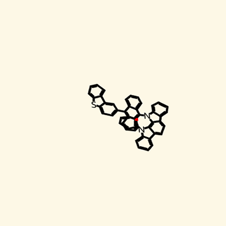 c1ccc(-n2c3ccccc3c3ccc4c5ccccc5n(-c5c6ccccc6c(-c6ccc7sc8ccccc8c7c6)c6ccccc56)c4c32)cc1